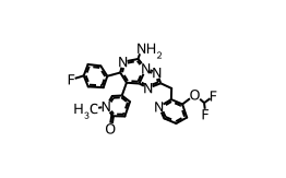 Cn1cc(-c2c(-c3ccc(F)cc3)nc(N)n3nc(Cc4ncccc4OC(F)F)nc23)ccc1=O